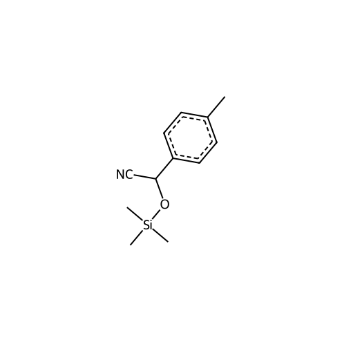 Cc1ccc(C(C#N)O[Si](C)(C)C)cc1